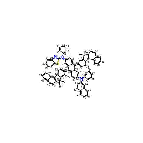 CC1(C)c2cc(-c3c4ccc(N(c5ccccc5)c5nc6ccccc6s5)cc4c(-c4ccc5c(c4)C(C)(C)c4ccc6ccccc6c4-5)c4ccc(N(c5ccccc5)c5ccc6ccccc6c5)cc34)ccc2-c2c1ccc1ccccc21